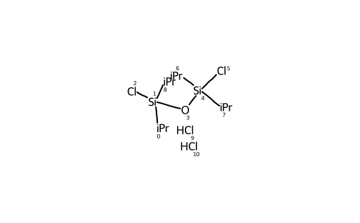 CC(C)[Si](Cl)(O[Si](Cl)(C(C)C)C(C)C)C(C)C.Cl.Cl